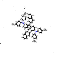 CC(C)(C)c1ccc(N(c2ccc(C(C)(C)C)cc2)c2ccc3c(-c4ccc5ccccc5c4)c4cc(N(c5ccc(C(C)(C)C)cc5)c5ccc(C(C)(C)C)cc5)ccc4c(-c4ccc5ccccc5c4)c3c2)cc1